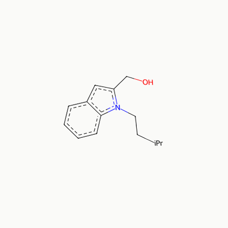 CC(C)CCn1c(CO)cc2ccccc21